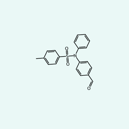 Cc1ccc(S(=O)(=O)N(c2ccccc2)c2ccc(C=O)cc2)cc1